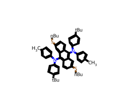 CCCCSc1ccc2c(N(c3ccc(C)cc3)c3ccc(C(C)(C)C)cc3)c3cc(SCCCC)ccc3c(N(c3ccc(C)cc3)c3ccc(C(C)(C)C)cc3)c2c1